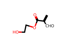 C=C(C=O)C(=O)OCCO